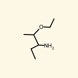 CCOC(C)C(N)CC